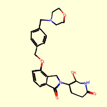 O=C1CCC(N2Cc3c(OCc4ccc(CN5CCOCC5)cc4)cccc3C2=O)C(O)N1